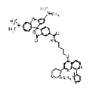 C[C@@H]1COCCN1c1cc(OCCCCNC(=O)c2ccc3c(c2)C(=O)OC32c3ccc(N(C)C)cc3Oc3cc(N(C)C)ccc32)c2ccnc(-c3ccn[nH]3)c2n1